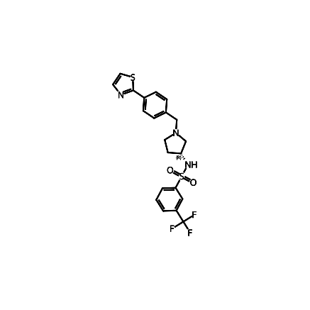 O=S(=O)(N[C@@H]1CCN(Cc2ccc(-c3nccs3)cc2)C1)c1cccc(C(F)(F)F)c1